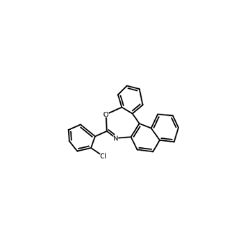 Clc1ccccc1C1=Nc2ccc3ccccc3c2-c2ccccc2O1